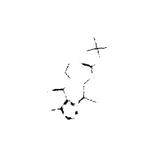 CCOC(=O)c1c(I)cnn1C(C)CNC(=O)OC(C)(C)C